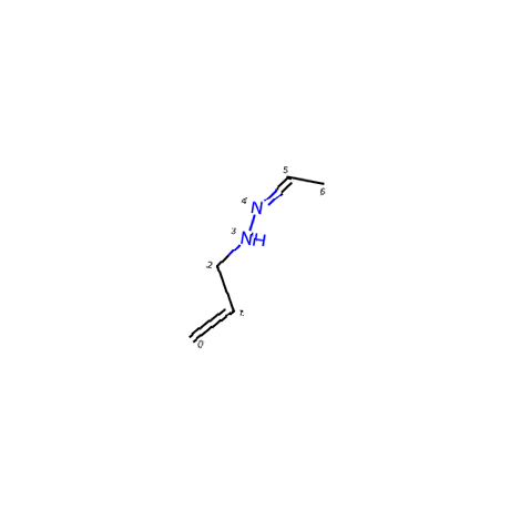 C=CCN/N=C\C